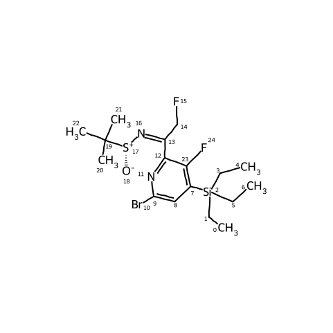 CC[Si](CC)(CC)c1cc(Br)nc(/C(CF)=N\[S@+]([O-])C(C)(C)C)c1F